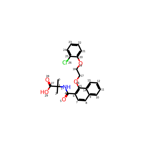 CC(C)(NC(=O)c1ccc2ccccc2c1OCCOc1ccccc1Cl)C(=O)O